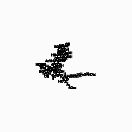 CCCCCCCCCCCCC/C=C/[C@@H](O)[C@H](CO[C@@H]1OC(CO)[C@@H](O[C@@H]2OC(CO)[C@H](O[C@@H]3OC(CO)[C@H](O)[C@H](O[C@@H]4OC(CO)[C@H](O[C@@H]5OC(CO)[C@H](O)[C@H](O)C5NC(C)=O)[C@H](O[C@]5(C(=O)O)CC(O)[C@@H](NC(C)=O)C([C@H](O)[C@H](O)CO)O5)C4O)C3NC(C)=O)[C@H](O[C@]3(C(=O)O)CC(O)[C@@H](NC(=O)CO)C([C@H](O)[C@H](O)CO)O3)C2O)[C@H](O)C1O)NC(=O)CCCCCCCCCCCCCCCCCCCCCCC